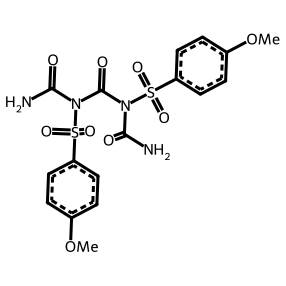 COc1ccc(S(=O)(=O)N(C(N)=O)C(=O)N(C(N)=O)S(=O)(=O)c2ccc(OC)cc2)cc1